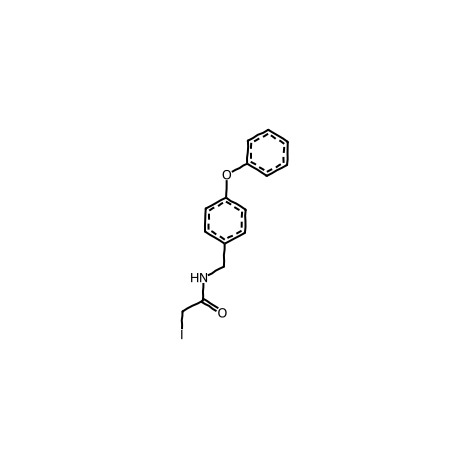 O=C(CI)NCc1ccc(Oc2ccccc2)cc1